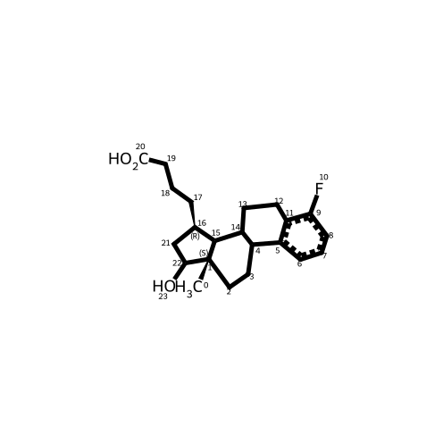 C[C@]12CCC3c4cccc(F)c4CCC3C1[C@H](CCCC(=O)O)CC2O